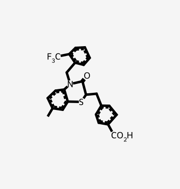 Cc1ccc2c(c1)SC(Cc1ccc(C(=O)O)cc1)C(=O)N2Cc1ccccc1C(F)(F)F